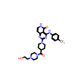 O=C(C1CCN(c2nc(Nc3ccc(C(F)(F)F)cc3)c3c(=O)[nH]ccc3n2)CC1)N1CCN(CCO)CC1